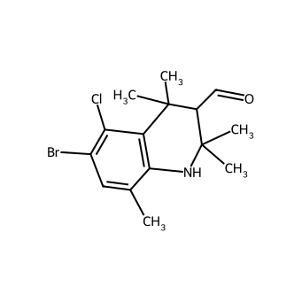 Cc1cc(Br)c(Cl)c2c1NC(C)(C)C(C=O)C2(C)C